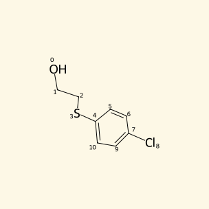 OCCSc1ccc(Cl)cc1